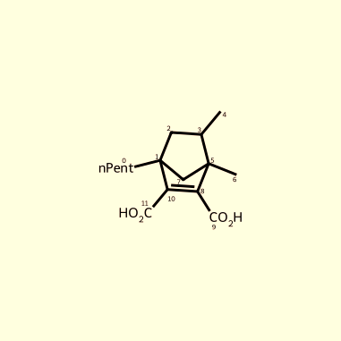 CCCCCC12CC(C)C(C)(C1)C(C(=O)O)=C2C(=O)O